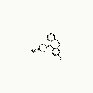 CN1CCC(=C2c3ccc(Cl)cc3C=Cc3cccnc32)CC1